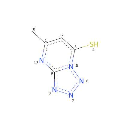 Cc1cc(S)n2nnnc2n1